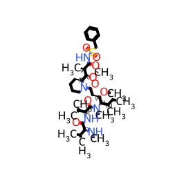 CC[C@H](C)[C@@H]([C@@H](CC(=O)N1CCCC[C@H]1[C@H](OC)[C@@H](C)C(=O)NS(=O)(=O)Cc1ccccc1)OC)N(C)C(=O)[C@@H](NC(=O)[C@@H](NC)C(C)C)C(C)C